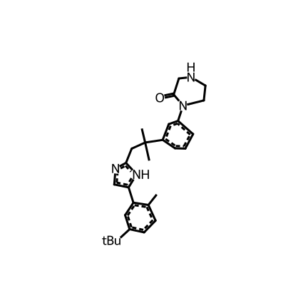 Cc1ccc(C(C)(C)C)cc1-c1cnc(CC(C)(C)c2cccc(N3CCNCC3=O)c2)[nH]1